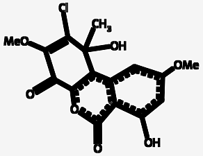 COC1=C(Cl)C(C)(O)c2c(oc(=O)c3c(O)cc(OC)cc23)C1=O